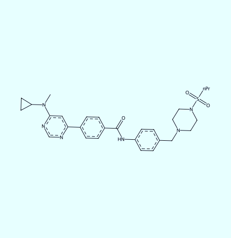 CCCS(=O)(=O)N1CCN(Cc2ccc(NC(=O)c3ccc(-c4cc(N(C)C5CC5)ncn4)cc3)cc2)CC1